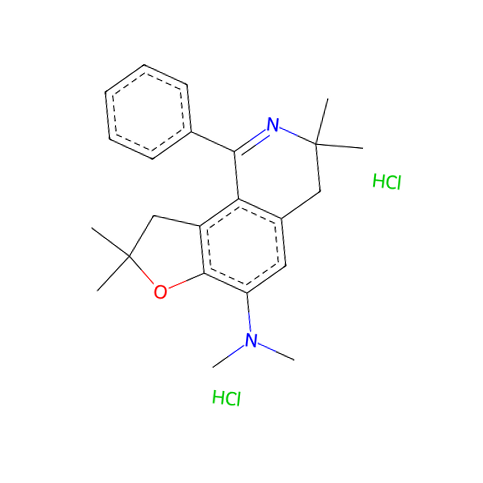 CN(C)c1cc2c(c3c1OC(C)(C)C3)C(c1ccccc1)=NC(C)(C)C2.Cl.Cl